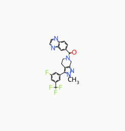 Cn1nc2c(c1-c1cc(F)cc(C(F)(F)F)c1)CCN(C(=O)c1ccc3nccnc3c1)C2